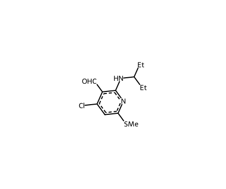 CCC(CC)Nc1nc(SC)cc(Cl)c1C=O